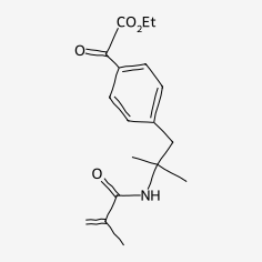 C=C(C)C(=O)NC(C)(C)Cc1ccc(C(=O)C(=O)OCC)cc1